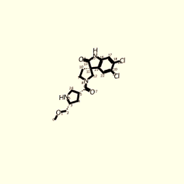 COC[C@H]1C[C@@H](C(=O)N2CC[C@]3(C2)C(=O)Nc2cc(Cl)c(Cl)cc23)CN1